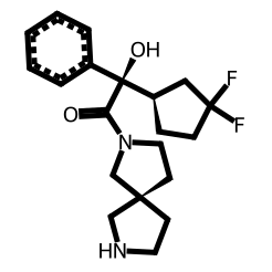 O=C(N1CC[C@]2(CCNC2)C1)[C@](O)(c1ccccc1)[C@@H]1CCC(F)(F)C1